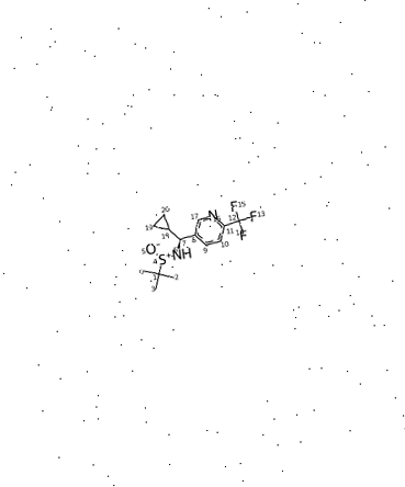 CC(C)(C)[S@@+]([O-])N[C@H](c1ccc(C(F)(F)F)nc1)C1CC1